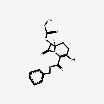 CC(C)(C)OC(=O)N[C@@H]1C(=O)N2C(C(=O)OCc3ccccc3)=C(O)CC[C@@H]12